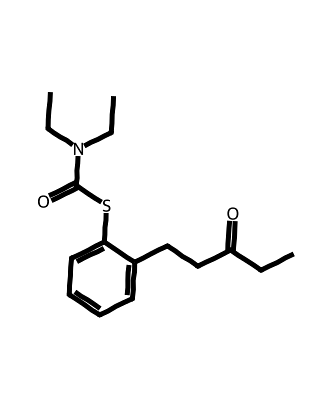 CCC(=O)CCc1ccccc1SC(=O)N(CC)CC